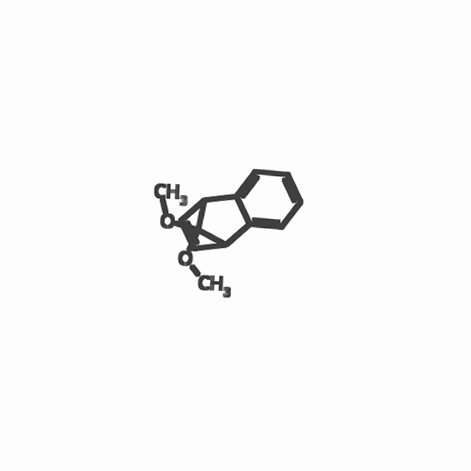 COC1(OC)C2C=CC1c1ccccc12